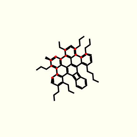 CCCCc1ccc(CCC)c(CCC)c1-c1c(-c2c(CCCC)ccc(CCC)c2CCC)c(-c2c(CCCC)ccc(CCC)c2CCC)c2c(c1-c1c(CCCC)ccc(CCC)c1CCC)=c1ccccc1=2